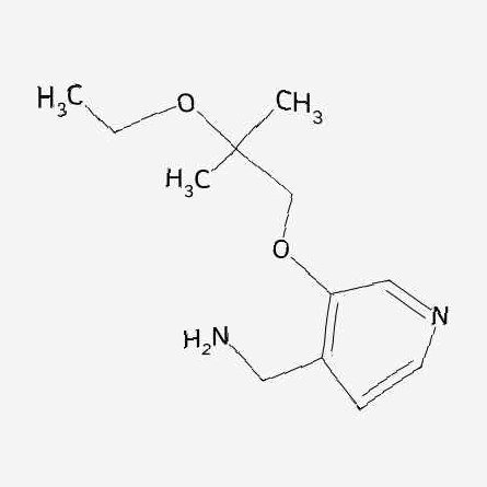 CCOC(C)(C)COc1cnccc1CN